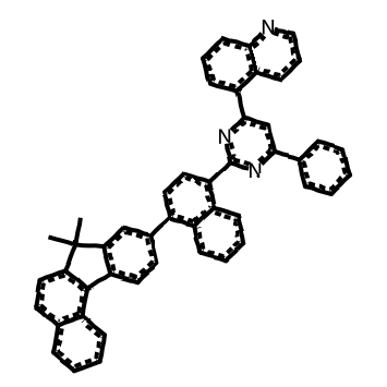 CC1(C)c2cc(-c3ccc(-c4nc(-c5ccccc5)cc(-c5cccc6ncccc56)n4)c4ccccc34)ccc2-c2c1ccc1ccccc21